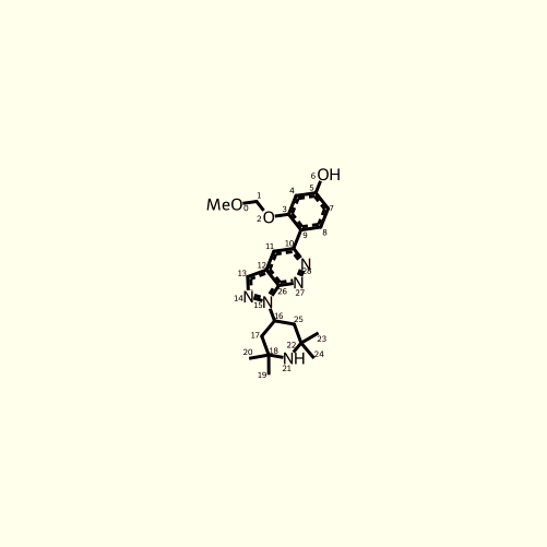 COCOc1cc(O)ccc1-c1cc2cnn(C3CC(C)(C)NC(C)(C)C3)c2nn1